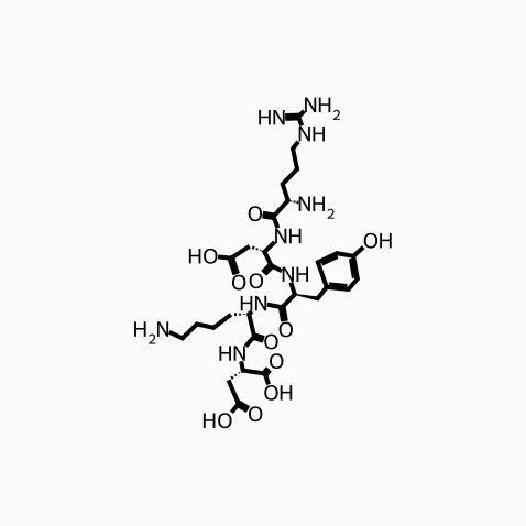 N=C(N)NCCC[C@H](N)C(=O)N[C@@H](CC(=O)O)C(=O)N[C@@H](Cc1ccc(O)cc1)C(=O)N[C@@H](CCCCN)C(=O)N[C@@H](CC(=O)O)C(=O)O